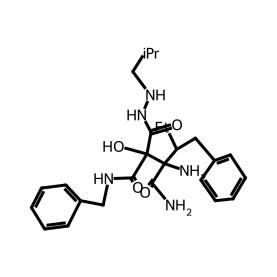 CCC(Cc1ccccc1)C(N)(C(N)=O)C(O)(C(=O)NCc1ccccc1)C(=O)NNCC(C)C